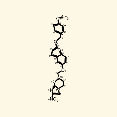 O=[N+]([O-])c1cn2c(n1)O[C@@H](COc1ccc3nc(OCc4ccc(OC(F)(F)F)cc4)ccc3c1)CC2